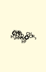 Cc1cc(F)c(NC(=O)N[C@@H](C)c2ncnn2-c2ncccn2)cc1C